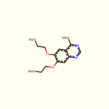 COCCOc1cc2ncnc(OC)c2cc1OCCOC